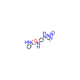 Cc1cc(Nc2ccc(NC(=O)Cc3c(C)[nH]c4ccccc34)cc2)nc(N2CCCC2)n1